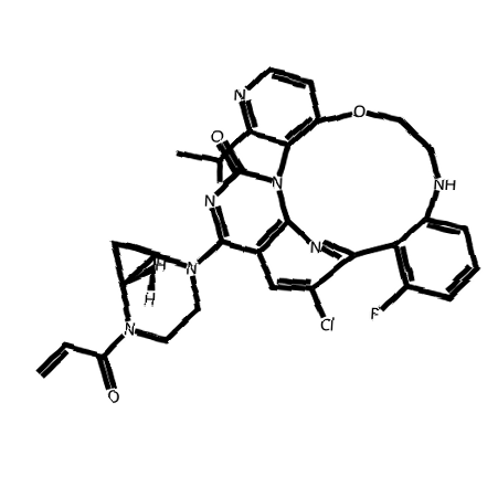 C=CC(=O)N1CCN(c2nc(=O)n3c4nc(c(Cl)cc24)-c2c(F)cccc2NCCOc2ccnc(C(C)C)c2-3)[C@H]2C[C@H]21